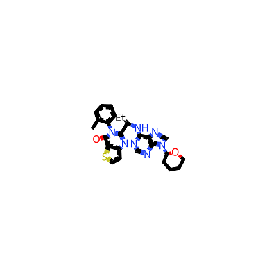 CCC(Nc1ncnc2c1ncn2C1CCCCO1)c1nc2ccsc2c(=O)n1-c1ccccc1C